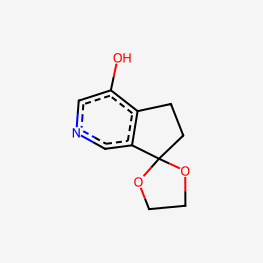 Oc1cncc2c1CCC21OCCO1